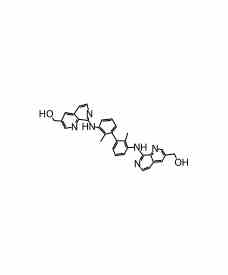 Cc1c(Nc2nccc3cc(CO)cnc23)cccc1-c1cccc(Nc2nccc3cc(CO)cnc23)c1C